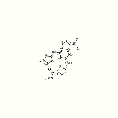 C=CC(=O)N1CC[C@@H](Nc2nc(Nc3cnn(C)c3)c3ncn(C(C)C)c3n2)C1